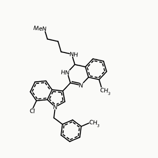 CNCCCNC1NC(c2cn(Cc3cccc(C)c3)c3c(Cl)cccc23)=Nc2c(C)cccc21